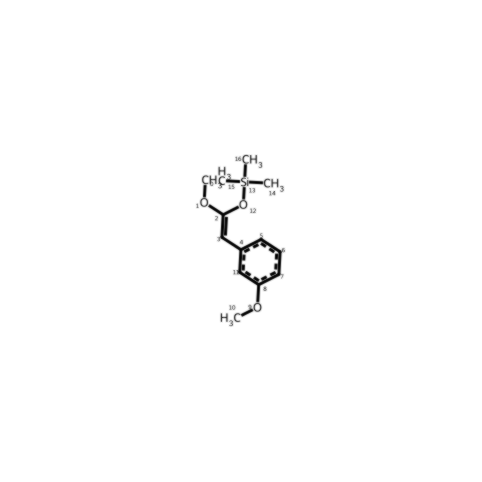 COC(=Cc1cccc(OC)c1)O[Si](C)(C)C